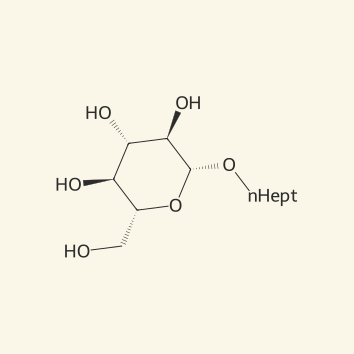 CCCCCCCO[C@@H]1O[C@H](CO)[C@@H](O)[C@H](O)[C@H]1O